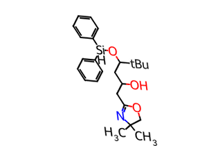 CC1(C)COC(CC(O)CC(O[SiH](c2ccccc2)c2ccccc2)C(C)(C)C)=N1